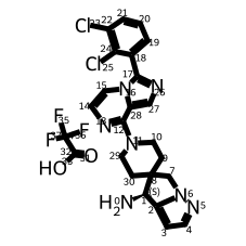 N[C@@H]1c2ccnn2CC12CCN(c1nccn3c(-c4cccc(Cl)c4Cl)ncc13)CC2.O=C(O)C(F)(F)F